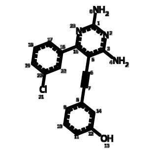 Nc1nc(N)c(C#Cc2cccc(O)c2)c(-c2cccc(Cl)c2)n1